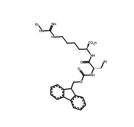 CCNC(=N)NCCCC[C@H](NC(=O)[C@H](CC(C)C)NC(=O)OCC1c2ccccc2-c2ccccc21)C(=O)O